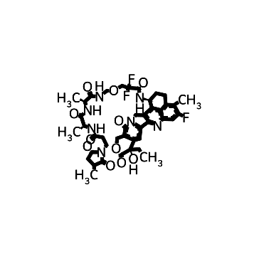 CC[C@@]1(O)C(=O)OCc2c1cc1n(c2=O)Cc2c-1nc1cc(F)c(C)c3c1c2[C@@H](NC(=O)C(F)(F)COCNC(=O)[C@H](C)NC(=O)[C@H](C)NC(=O)CCN1C(=O)CC(C)C1=O)CC3